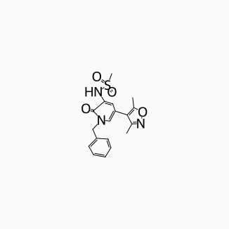 Cc1noc(C)c1-c1cc(NS(C)(=O)=O)c(=O)n(Cc2ccccc2)c1